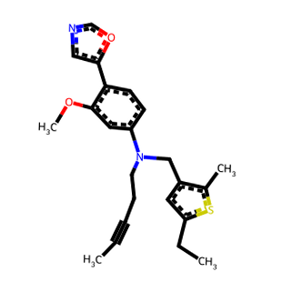 CC#CCCN(Cc1cc(CC)sc1C)c1ccc(-c2cnco2)c(OC)c1